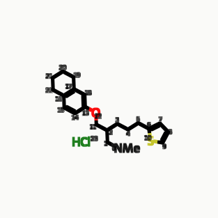 CNCC(CCCc1cccs1)COc1ccc2c(c1)CCCC2.Cl